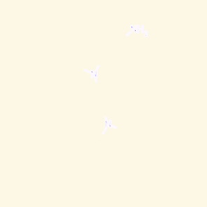 Nc1ccc(N(c2ccc(N(c3cccc4ccccc34)c3cccc4ccccc34)cc2)c2cccc3ccccc23)cc1